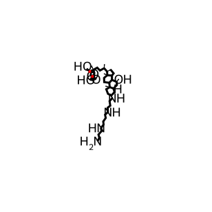 CC(C)[C@](CO)(CC[C@@H](C)[C@H]1CCC2C3C(CC[C@@]21C)[C@@]1(C)CC[C@H](NCCCNCCCCNCCCN)C[C@H]1C[C@@H]3O)OS(=O)(=O)O